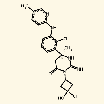 Cc1cnc(Nc2cccc([C@]3(C)CC(=O)N([C@H]4C[C@@](C)(O)C4)C(=N)N3)c2Cl)cn1